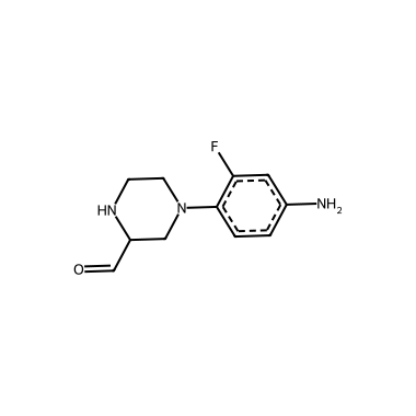 Nc1ccc(N2CCNC(C=O)C2)c(F)c1